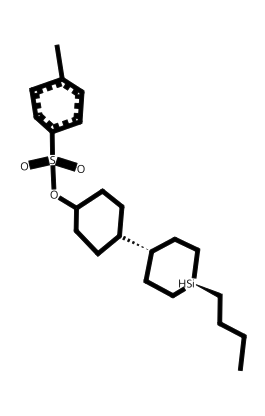 CCCC[Si@H]1CC[C@H](C2CCC(OS(=O)(=O)c3ccc(C)cc3)CC2)CC1